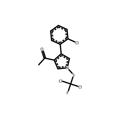 CC(=O)c1cn(SC(F)(Cl)Cl)cc1-c1ccccc1Cl